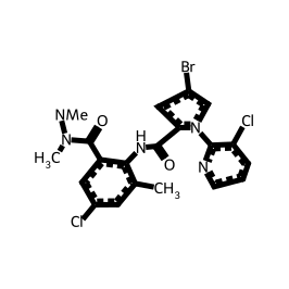 CNN(C)C(=O)c1cc(Cl)cc(C)c1NC(=O)c1cc(Br)cn1-c1ncccc1Cl